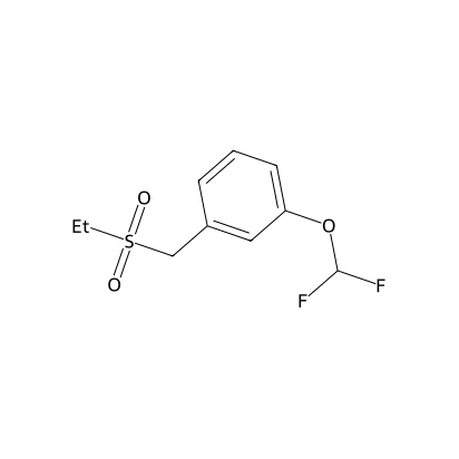 CCS(=O)(=O)Cc1cccc(OC(F)F)c1